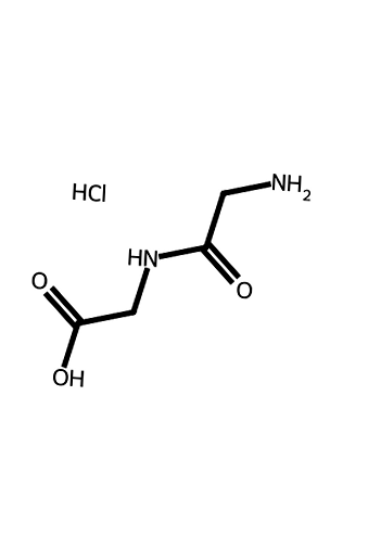 Cl.NCC(=O)NCC(=O)O